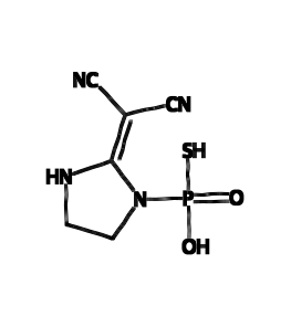 N#CC(C#N)=C1NCCN1P(=O)(O)S